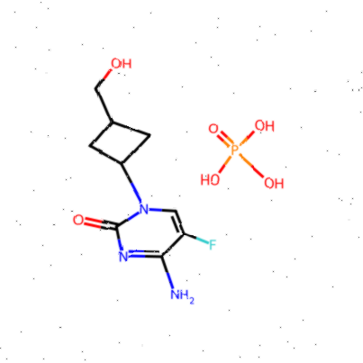 Nc1nc(=O)n(C2CC(CO)C2)cc1F.O=P(O)(O)O